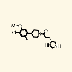 COc1cc(C2CCN(C(=O)CC[C@@H]3CNCN3)CC2)c(C)cc1Cl